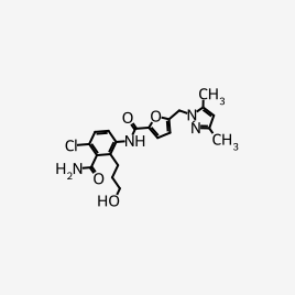 Cc1cc(C)n(Cc2ccc(C(=O)Nc3ccc(Cl)c(C(N)=O)c3CCCO)o2)n1